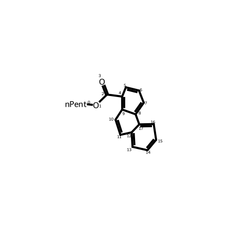 CCCCCOC(=O)c1cccc2c1ccc1ccccc12